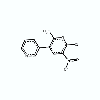 Cc1nc(Cl)c([N+](=O)[O-])cc1-c1cccnc1